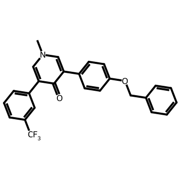 Cn1cc(-c2ccc(OCc3ccccc3)cc2)c(=O)c(-c2cccc(C(F)(F)F)c2)c1